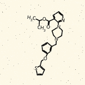 CC(C)OC(=O)c1cccnc1N1CCN(Cc2cccc(OCc3cccs3)c2)CC1